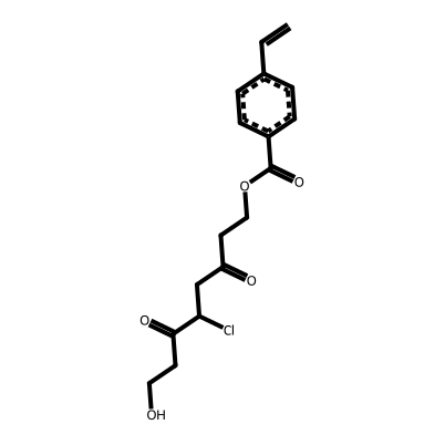 C=Cc1ccc(C(=O)OCCC(=O)CC(Cl)C(=O)CCO)cc1